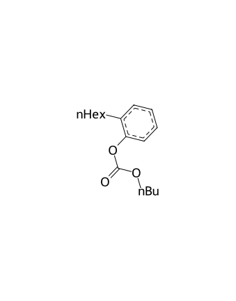 CCCCCCc1ccccc1OC(=O)OCCCC